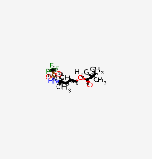 CCC(C)(C)C(=O)OCCCC(C)(C)NS(=O)(=O)C(F)(F)F